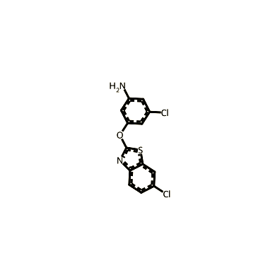 Nc1cc(Cl)cc(Oc2nc3ccc(Cl)cc3s2)c1